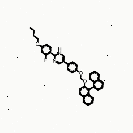 CCCCOc1ccc(C2N=CC(c3ccc(OCOc4ccc5ccccc5c4-c4cccc5ccccc45)cc3)=CN2)c(F)c1